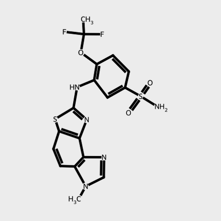 Cn1cnc2c3nc(Nc4cc(S(N)(=O)=O)ccc4OC(C)(F)F)sc3ccc21